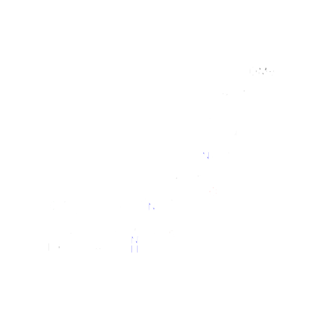 COc1ccc(CNC(=O)Cc2csc(Nc3ccc(Cl)c(C(F)(F)F)c3)n2)cc1